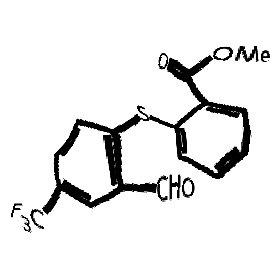 COC(=O)c1ccccc1Sc1ccc(C(F)(F)F)cc1C=O